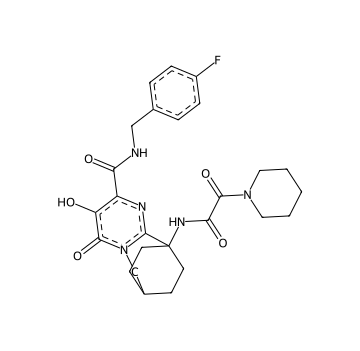 O=C(NC12CCC(CC1)Cn1c2nc(C(=O)NCc2ccc(F)cc2)c(O)c1=O)C(=O)N1CCCCC1